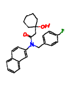 O=C(CC1(O)CCCCC1)N(Cc1ccc(F)cc1)c1ccc2ccccc2c1